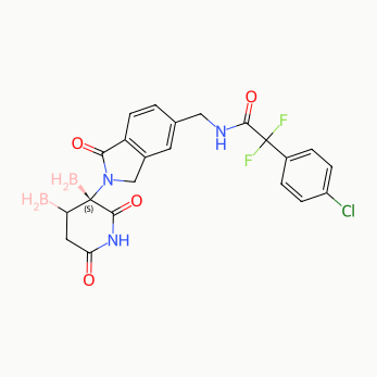 BC1CC(=O)NC(=O)[C@@]1(B)N1Cc2cc(CNC(=O)C(F)(F)c3ccc(Cl)cc3)ccc2C1=O